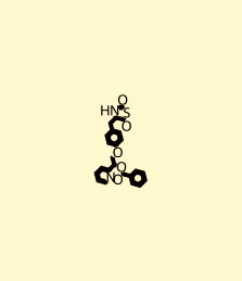 O=C1NC(Cc2ccc(OCC(OC(=O)c3ccccc3)c3ccccn3)cc2)C(=O)S1